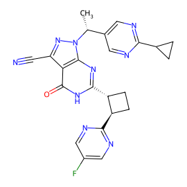 C[C@H](c1cnc(C2CC2)nc1)n1nc(C#N)c2c(=O)[nH]c([C@@H]3CC[C@H]3c3ncc(F)cn3)nc21